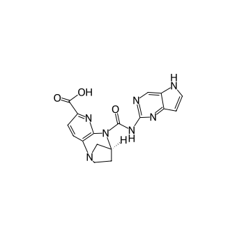 O=C(O)c1ccc2c(n1)N(C(=O)Nc1ncc3[nH]ccc3n1)[C@H]1CCN2C1